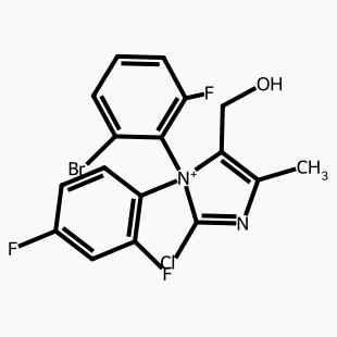 CC1=C(CO)[N+](c2ccc(F)cc2F)(c2c(F)cccc2Br)C(Cl)=N1